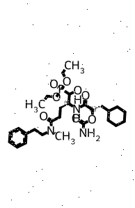 CCOP(=O)(OCC)C(O)[C@H](CCC(=O)N(C)CCc1ccccc1)NC(=O)[C@H](CC1CCCCC1)OC(N)=O